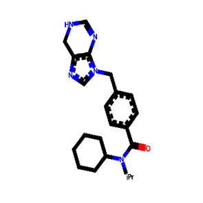 CC(C)N(C(=O)c1ccc(Cn2cnc3c2N=CNC3)cc1)C1CCCCC1